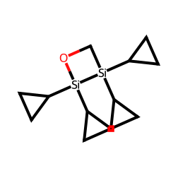 C1CC1[Si]1(C2CC2)CO[Si]1(C1CC1)C1CC1